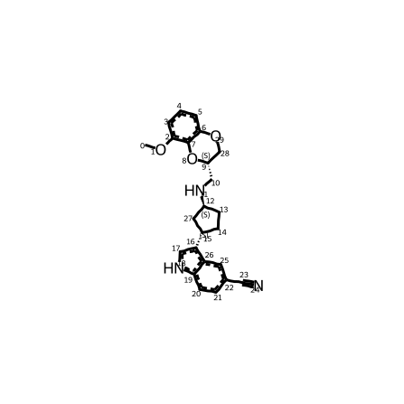 COc1cccc2c1O[C@@H](CN[C@H]1CC[C@H](c3c[nH]c4ccc(C#N)cc34)C1)CO2